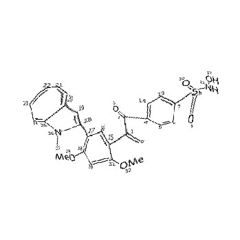 C=C(C(=O)c1ccc(S(=O)(=O)NO)cc1)c1cc(-c2cc3ccccc3n2C)c(OC)cc1OC